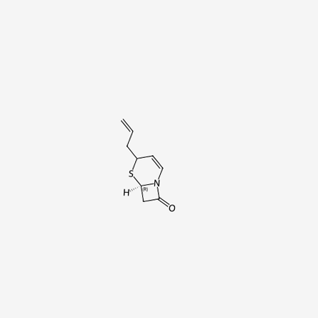 C=CCC1C=CN2C(=O)C[C@H]2S1